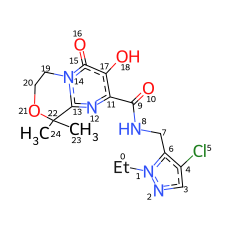 CCn1ncc(Cl)c1CNC(=O)c1nc2n(c(=O)c1O)CCOC2(C)C